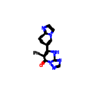 CC(C)c1c(-c2ccc3nccn3c2)[nH]c2ncnn2c1=O